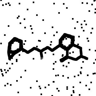 C=C1CC(C)Cc2cccc(CCC(F)CCc3cccc4c3C4)c21